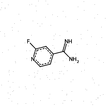 N=C(N)c1ccnc(F)c1